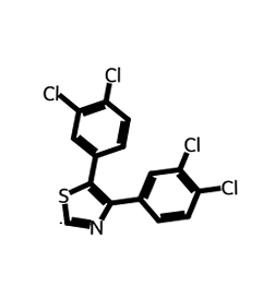 Clc1ccc(-c2n[c]sc2-c2ccc(Cl)c(Cl)c2)cc1Cl